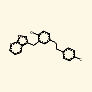 Clc1ccc(COc2ccc(Cl)c(Cc3c[nH]c4ncccc34)c2)cc1